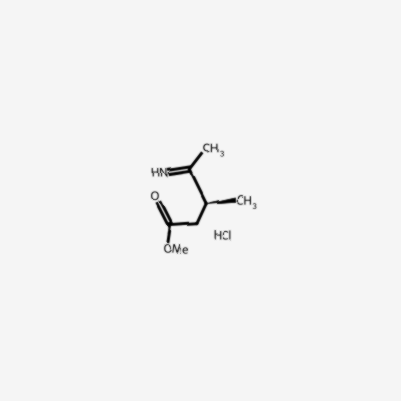 COC(=O)C[C@H](C)C(C)=N.Cl